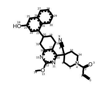 C=CC(=O)N1CCC(C#N)(c2nc(OC)nc3c2CCC(c2cc(O)cc4ccccc24)C3)CC1